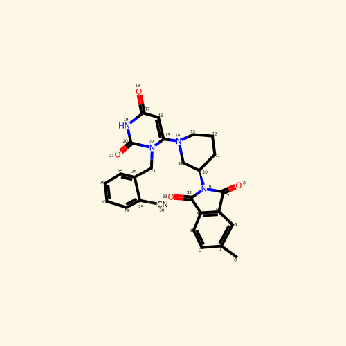 Cc1ccc2c(c1)C(=O)N([C@@H]1CCCN(c3cc(=O)[nH]c(=O)n3Cc3ccccc3C#N)C1)C2=O